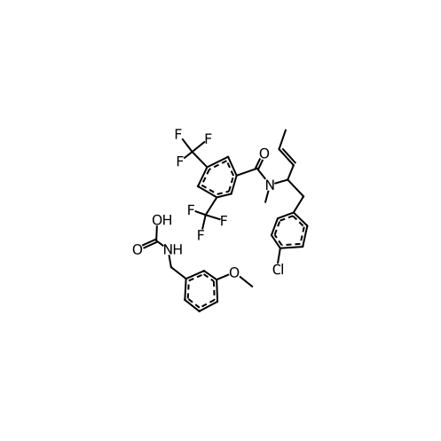 CC=CC(Cc1ccc(Cl)cc1)N(C)C(=O)c1cc(C(F)(F)F)cc(C(F)(F)F)c1.COc1cccc(CNC(=O)O)c1